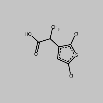 CC(C(=O)O)c1cc(Cl)sc1Cl